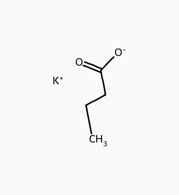 CCCC(=O)[O-].[K+]